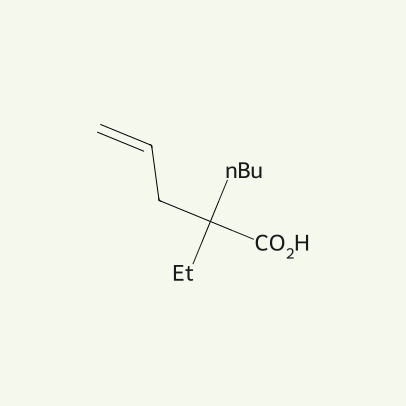 C=CCC(CC)(CCCC)C(=O)O